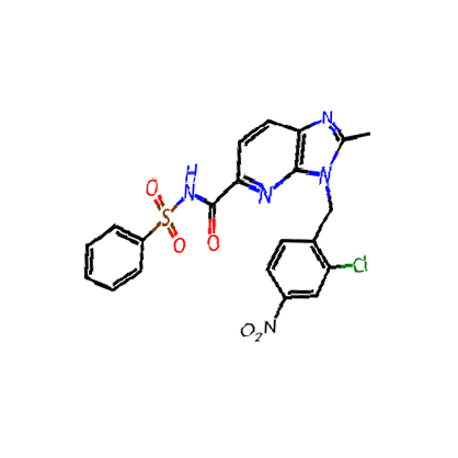 Cc1nc2ccc(C(=O)NS(=O)(=O)c3ccccc3)nc2n1Cc1ccc([N+](=O)[O-])cc1Cl